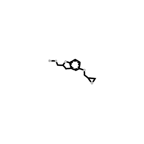 CCOCC1Cc2cc(OCC3CO3)ccc2O1